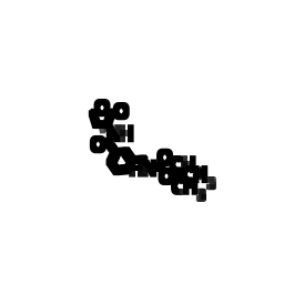 CC(C)(C)OC(=O)NCc1cccc(C(=O)N[C@H]2CCOC2=O)c1